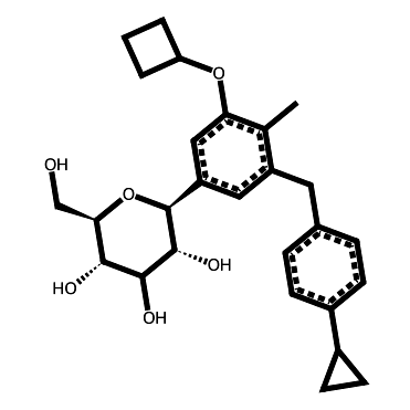 Cc1c(Cc2ccc(C3CC3)cc2)cc([C@@H]2O[C@H](CO)[C@@H](O)C(O)[C@H]2O)cc1OC1CCC1